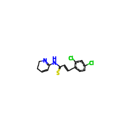 S=C(/C=C/c1ccc(Cl)cc1Cl)NC1=NCCC=C1